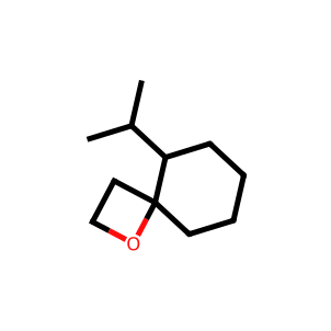 CC(C)C1CCCCC12CCO2